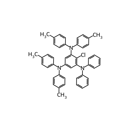 Cc1ccc(N(c2ccc(C)cc2)c2cc(N(c3ccccc3)c3ccccc3)c(Cl)c(N(c3ccc(C)cc3)c3ccc(C)cc3)c2)cc1